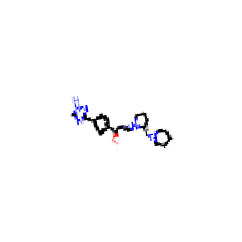 O=C(/C=C/N1CCC[C@H]1CN1CCCCC1)c1ccc(-c2nc[nH]n2)cc1